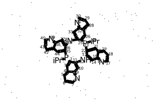 CC(C)P1c2cc3cccnc3cc2Nc2cc3ncccc3cc2P(C(C)C)c2cc3cccnc3cc2Nc2cc3ncccc3cc21